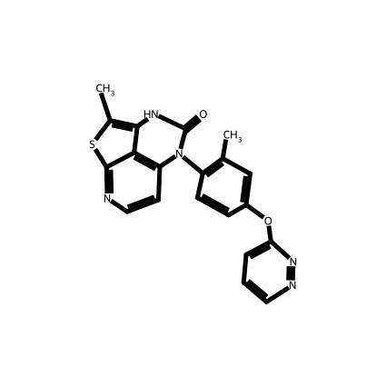 Cc1cc(Oc2cccnn2)ccc1N1C(=O)Nc2c(C)sc3nccc1c23